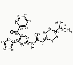 CC(C)N1CCN(CC(=O)Nc2nc(-c3ccco3)c(C(=O)c3ccccn3)s2)CC1